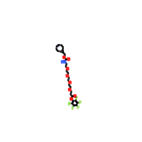 O=C(CCOCCOCCOCCOCCNC(=O)OCC1C2CC/C=C\CCC21)Oc1c(F)c(F)c(F)c(F)c1F